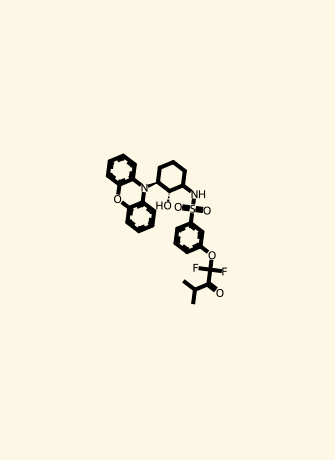 CC(C)C(=O)C(F)(F)Oc1cccc(S(=O)(=O)NC2CCC[C@H](N3c4ccccc4Oc4ccccc43)[C@H]2O)c1